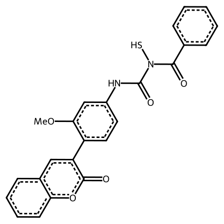 COc1cc(NC(=O)N(S)C(=O)c2ccccc2)ccc1-c1cc2ccccc2oc1=O